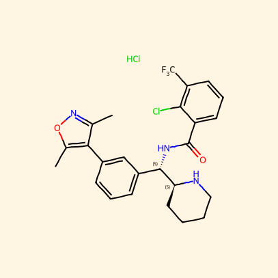 Cc1noc(C)c1-c1cccc([C@H](NC(=O)c2cccc(C(F)(F)F)c2Cl)[C@@H]2CCCCN2)c1.Cl